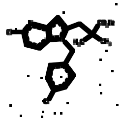 CCOC(=O)C(C)(C)Cc1cc2nc(Cl)ccc2n1Cc1ccc(Cl)cc1